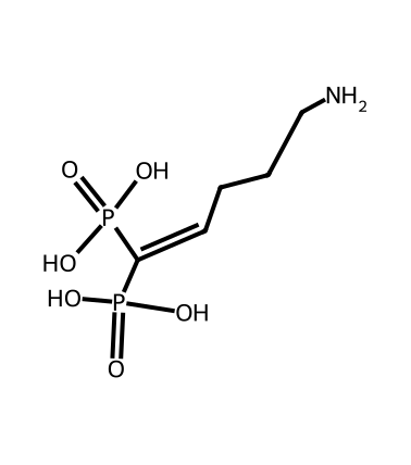 NCCCC=C(P(=O)(O)O)P(=O)(O)O